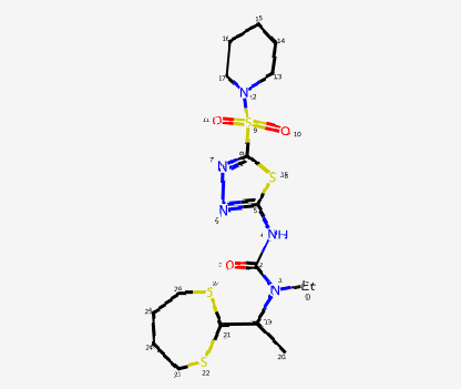 CCN(C(=O)Nc1nnc(S(=O)(=O)N2CCCCC2)s1)C(C)C1SCCCCS1